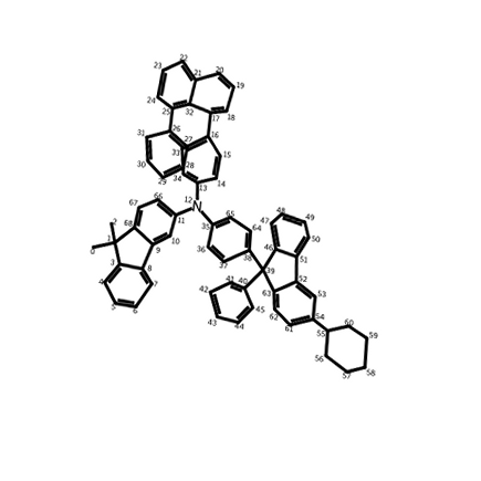 CC1(C)c2ccccc2-c2cc(N(c3ccc(-c4cccc5cccc(-c6ccccc6)c45)cc3)c3ccc(C4(c5ccccc5)c5ccccc5-c5cc(C6CCCCC6)ccc54)cc3)ccc21